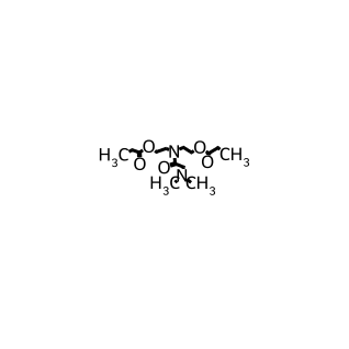 CCC(=O)OCCN(CCOC(=O)CC)C(=O)CN(C)C